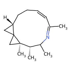 CC1=N/C(C)[C@H](C)[C@@]2(C)CC23C[C@@H]3CC/C=C\1